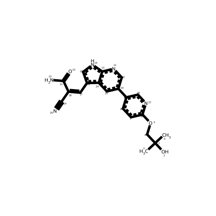 CC(C)(O)COc1ccc(-c2cnc3[nH]cc(C=C(C#N)C(N)=O)c3c2)cn1